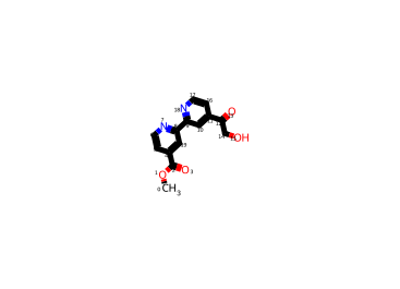 COC(=O)c1ccnc(-c2cc(C(=O)CO)ccn2)c1